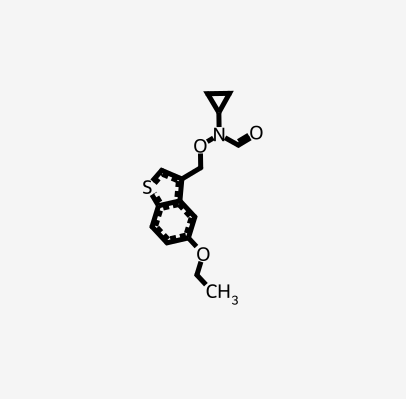 CCOc1ccc2scc(CON(C=O)C3CC3)c2c1